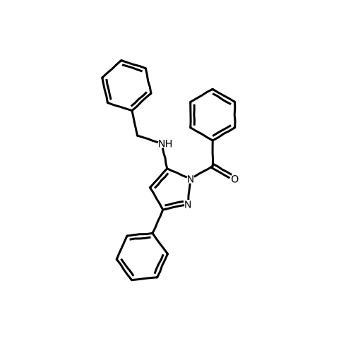 O=C(c1ccccc1)n1nc(-c2ccccc2)cc1NCc1ccccc1